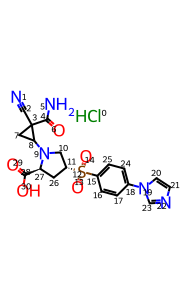 Cl.N#CC1(C(N)=O)CC1N1C[C@H](S(=O)(=O)c2ccc(-n3ccnc3)cc2)C[C@H]1C(=O)O